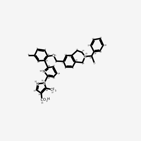 Cc1ccc(OCc2ccc3c(c2)CCN(C(C)c2ccccc2)C3)c(-c2cccc(-n3ncc(C(=O)O)c3C(F)(F)F)n2)c1